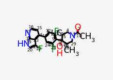 CC(=O)N1C[C@@H](C)[C@](O)(c2c(F)cc(-c3ccnc4[nH]cc(F)c34)cc2F)[C@@H](C)C1